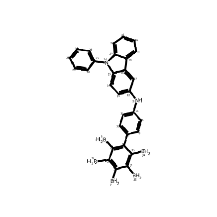 Bc1c(B)c(B)c(-c2ccc(Nc3ccc4c(c3)c3ccccc3n4-c3ccccc3)cc2)c(B)c1B